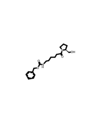 O=C(NCCCCCC(=O)N1CCC[C@H]1CO)OCc1ccccc1